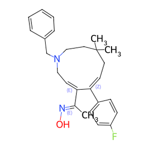 CC(=N\O)/C1=C/CN(Cc2ccccc2)CCC(C)(C)C/C=C\1c1ccc(F)cc1